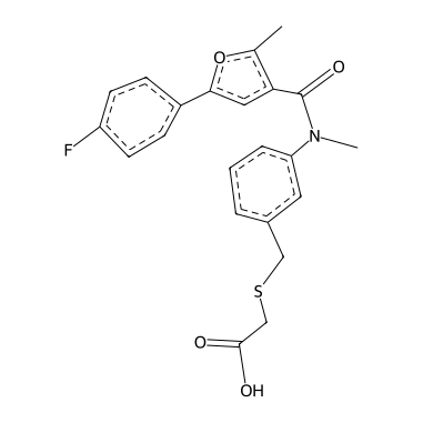 Cc1oc(-c2ccc(F)cc2)cc1C(=O)N(C)c1cccc(CSCC(=O)O)c1